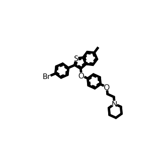 Cc1ccc2c(Oc3ccc(OCCN4CCCCC4)cc3)c(-c3ccc(Br)cc3)sc2c1